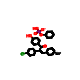 O=C(C(=Cc1ccccc1)c1ccc(Cl)cc1)c1ccc(O)cc1.O=P([O-])(O)Oc1ccccc1.[Na+]